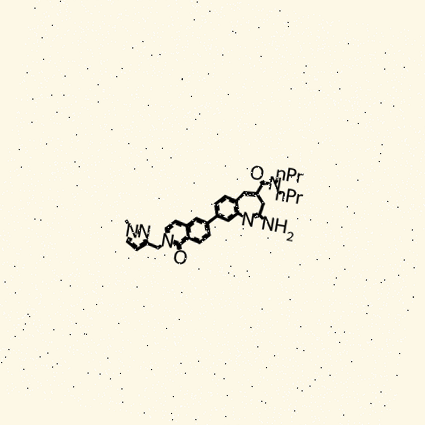 CCCN(CCC)C(=O)C1=Cc2ccc(-c3ccc4c(=O)n(Cc5ccn(C)n5)ccc4c3)cc2N=C(N)C1